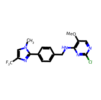 COc1cnc(Cl)nc1NCc1ccc(-c2nc(C(F)(F)F)cn2C)cc1